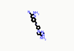 N#Cc1cc2ccc(/C=C/C3CCC(N4CCc5c(N)ncnc54)C3)cc2nc1N